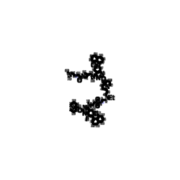 CCN(C/C=C/S(=O)(=O)CCN(C)c1nc(OCC23CCCN2CCC3)nc2c(F)c(-c3cccc4cccc(Cl)c34)ncc12)CCC1CCC2(COc3nc4c(c(N(C)CC5CN(C(=O)/C=C/CN(C)C)C5)n3)CCN(c3cccc5cccc(Cl)c35)C4)CCCN12